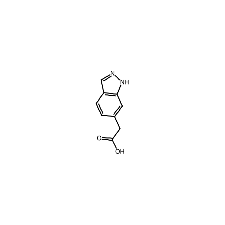 O=C(O)Cc1ccc2cn[nH]c2c1